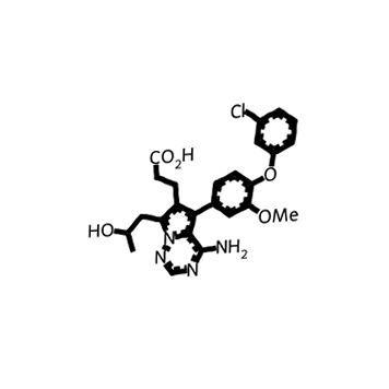 COc1cc(-c2c(CCC(=O)O)c(CC(C)O)n3ncnc(N)c23)ccc1Oc1cccc(Cl)c1